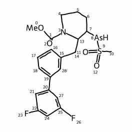 COC(=O)N1CCCC([AsH]S(C)(=O)=O)C1Cc1cccc(-c2cc(F)cc(F)c2)c1